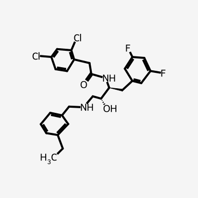 CCc1cccc(CNC[C@@H](O)[C@H](Cc2cc(F)cc(F)c2)NC(=O)Cc2ccc(Cl)cc2Cl)c1